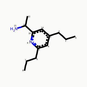 CCCc1cc(CCC)nc(C(C)N)c1